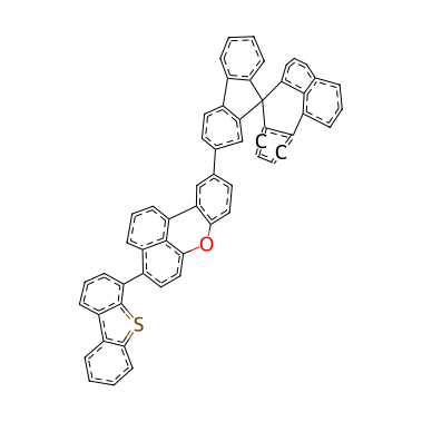 c1ccc2c(c1)-c1ccc(-c3ccc4c(c3)-c3cccc5c(-c6cccc7c6sc6ccccc67)ccc(c35)O4)cc1C21c2ccccc2-c2cccc3cccc1c23